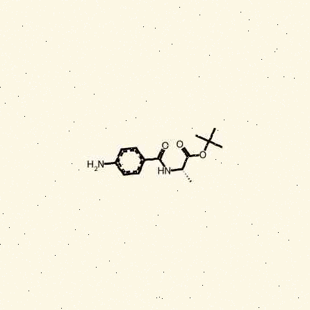 C[C@H](NC(=O)c1ccc(N)cc1)C(=O)OC(C)(C)C